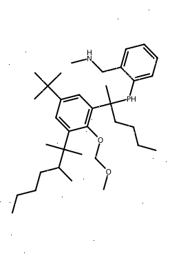 CCCCC(C)C(C)(C)c1cc(C(C)(C)C)cc(C(C)(CCCC)Pc2ccccc2CNC)c1OCOC